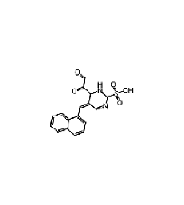 O=CC(=O)C1NC(S(=O)(=O)O)N=CC1=Cc1cccc2ccccc12